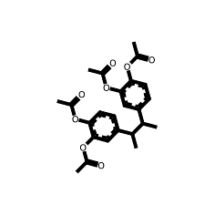 CC(=O)Oc1ccc(C(C)C(C)c2ccc(OC(C)=O)c(OC(C)=O)c2)cc1OC(C)=O